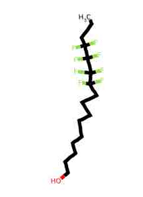 CCCC(F)(F)C(F)(F)C(F)(F)C(F)(F)CCCCCCCCCO